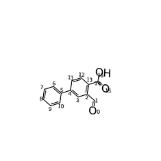 O=Cc1cc(-c2ccccc2)ccc1C(=O)O